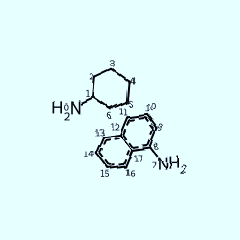 NC1CCCCC1.Nc1cccc2ccccc12